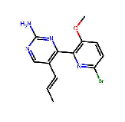 C/C=C/c1cnc(N)nc1-c1nc(Br)ccc1OC